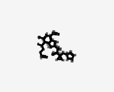 COCCC(C)c1c(F)nc(OC)c2nc(NC(=O)C3(Cn4ccnc4)CC3)sc12